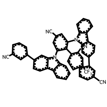 N#Cc1cccc(-c2ccc3c4ccccc4n(-c4cc(C#N)cc(-n5c6ccccc6c6ccc(-c7cccc(C#N)c7)cc65)c4-c4ccc(C(F)(F)F)cc4C#N)c3c2)c1